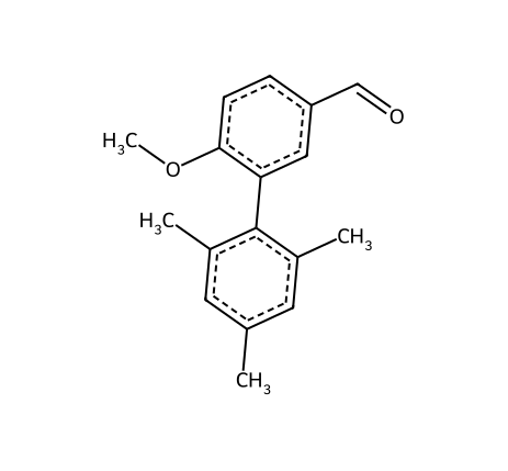 COc1ccc(C=O)cc1-c1c(C)cc(C)cc1C